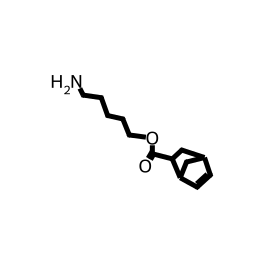 NCCCCCOC(=O)C1CC2C=CC1C2